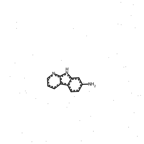 Nc1ccc2c(c1)[nH]c1ncccc12